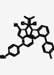 CCC1=Cc2c(-c3ccc(C(C)(C)C)cc3)cccc2[CH]1[Zr]([Cl])([Cl])([CH]1C(C)=Cc2c(-c3ccc(C)cc3)cccc21)[SiH](C)C